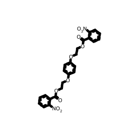 O=C(OCCOc1ccc(OCCOC(=O)c2ccccc2[N+](=O)[O-])cc1)c1ccccc1[N+](=O)[O-]